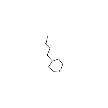 ISCCN1CCOCC1